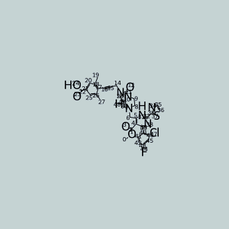 COC(=O)C1=C(CN2CCN3C(=O)N(CC#Cc4c(C)cc(C(=O)O)cc4C)C[C@@H]3C2)NC(c2nccs2)=N[C@H]1c1ccc(F)cc1Cl